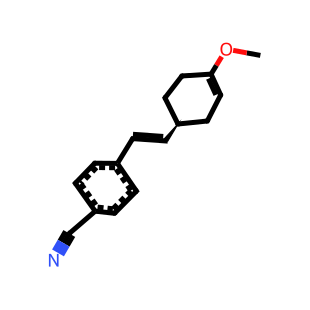 COC1=CC[C@@H](/C=C/c2ccc(C#N)cc2)CC1